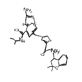 CC(C)NC(=O)c1cc(-c2csc(C(=O)NC3CC(C)(C)Oc4ccccc43)c2)cn2nc(N)nc12